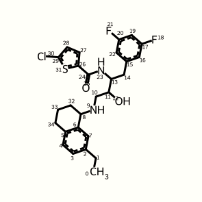 CCc1ccc2c(c1)C(NCC(O)C(Cc1cc(F)cc(F)c1)NC(=O)c1ccc(Cl)s1)CCC2